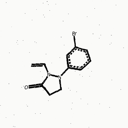 C=CN1C(=O)CCN1c1cccc(Br)c1